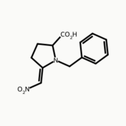 O=C(O)C1CC/C(=C\[N+](=O)[O-])N1Cc1ccccc1